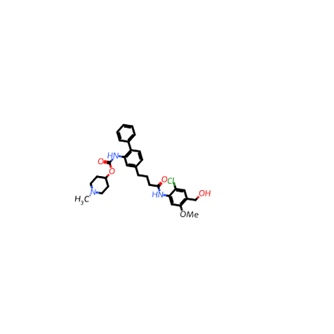 COc1cc(NC(=O)CCCc2ccc(-c3ccccc3)c(NC(=O)OC3CCN(C)CC3)c2)c(Cl)cc1CO